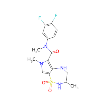 CC1CNc2c(cn(C)c2C(=O)N(C)c2ccc(F)c(F)c2)S(=O)(=O)N1